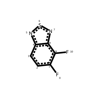 Fc1ccc2nsnc2c1F